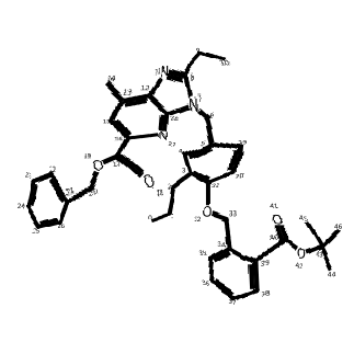 CCCc1cc(Cn2c(CC)nc3c(C)cc(C(=O)OCc4ccccc4)nc32)ccc1OCc1ccccc1C(=O)OC(C)(C)C